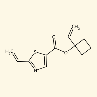 C=Cc1ncc(C(=O)OC2(C=C)CCC2)s1